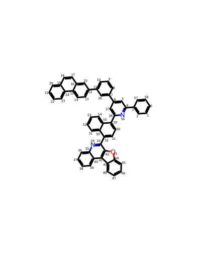 c1ccc(-c2cc(-c3cccc(-c4ccc5c(ccc6ccccc65)c4)c3)cc(-c3ccc(-c4nc5ccccc5c5c4oc4ccccc45)c4ccccc34)n2)cc1